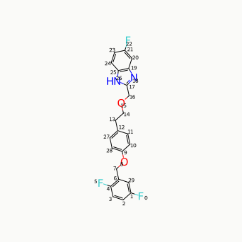 Fc1ccc(F)c(COc2ccc(CCOCc3nc4cc(F)ccc4[nH]3)cc2)c1